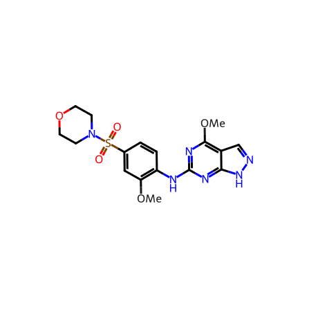 COc1cc(S(=O)(=O)N2CCOCC2)ccc1Nc1nc(OC)c2cn[nH]c2n1